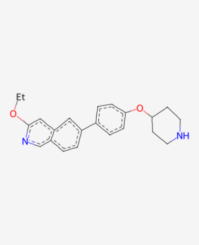 CCOc1cc2cc(-c3ccc(OC4CCNCC4)cc3)ccc2cn1